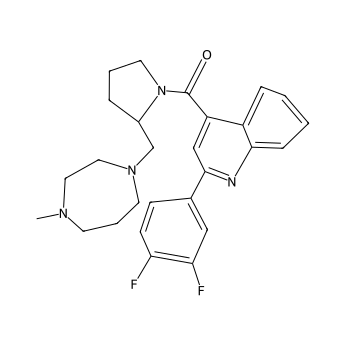 CN1CCCN(CC2CCCN2C(=O)c2cc(-c3ccc(F)c(F)c3)nc3ccccc23)CC1